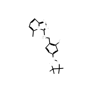 Cc1cccc2nnc(NCc3ccc(B4OC(C)(C)C(C)(C)O4)cc3F)n12